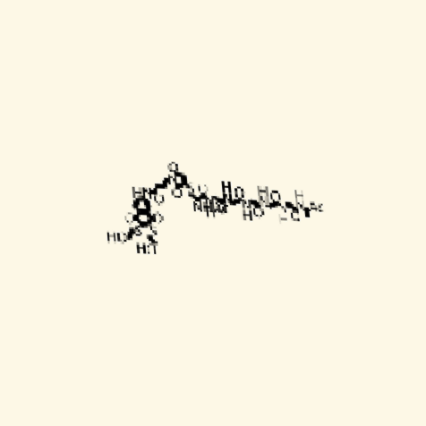 CC(=O)NC(CSC1CC(=O)N(CCCC(=O)Nc2ccc3c(c2)C(=O)C(SCCO)=C(SCCO)C3=O)C1=O)C(=O)NCC(=O)NCC(=O)NCC(=O)NCC(=O)NCC(=O)NC(C)C(C)=O